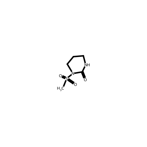 CS(=O)(=O)N1CCCNC1=O